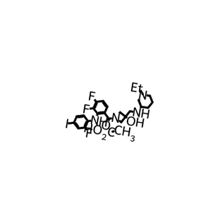 CC(=O)O.CCN1CCCC(NCC2(O)CN(C(=O)c3ccc(F)c(F)c3Nc3ccc(I)cc3F)C2)C1